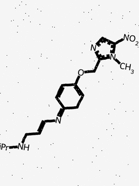 CC(C)NCC=CN=C1C=CC(OCc2ncc([N+](=O)[O-])n2C)=CC1